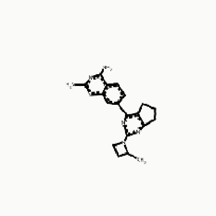 CC1CCN1c1nc2c(c(-c3ccc4c(N)nc(N)nc4c3)n1)CCC2